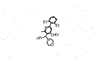 CCCC(c1c(OCC)cc(-c2c(CC)cccc2CC)nc1C)N1CCOCC1